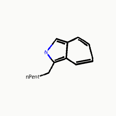 CCCCCCC1=c2ccccc2=C[N]1